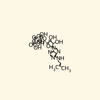 CC(C)=CCNc1ncnc2c1ncn2[C@@H]1O[C@H](COP(=O)(O)OP(=O)(O)OP(=O)(O)O)[C@H](O)C1O